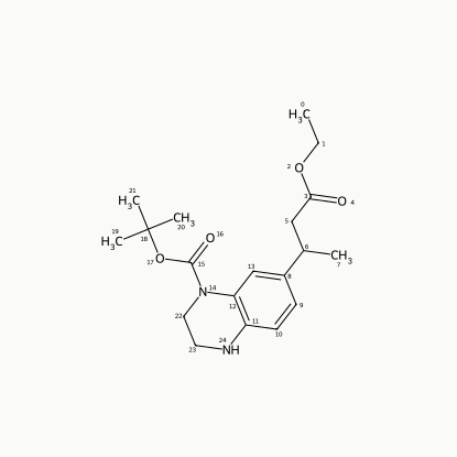 CCOC(=O)CC(C)c1ccc2c(c1)N(C(=O)OC(C)(C)C)CCN2